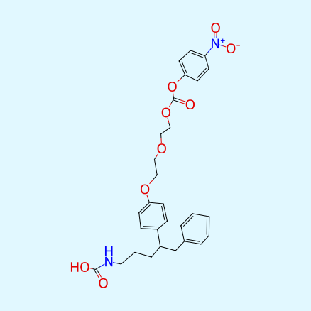 O=C(O)NCCCC(Cc1ccccc1)c1ccc(OCCOCCOC(=O)Oc2ccc([N+](=O)[O-])cc2)cc1